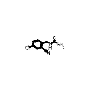 N#Cc1cc(Cl)ccc1CNC(N)=O